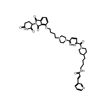 O=C(/C=C/c1cccnc1)NCCCCC1CCN(C(=O)c2ccc(N3CCN(CCCCOc4cccc5c4C(=O)N(C4CCC(=O)NC4=O)C5=O)CC3)nn2)CC1